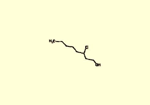 CCCCCC(Cl)CCO